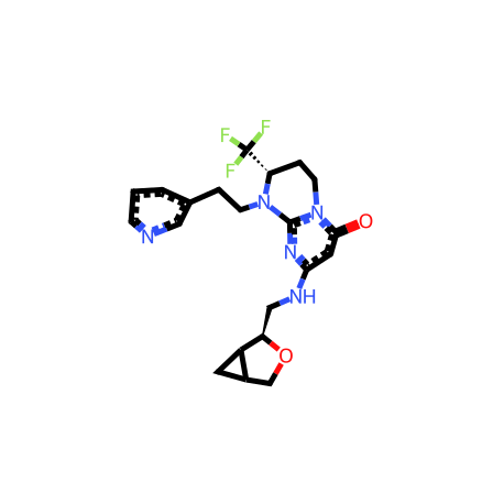 O=c1cc(NC[C@H]2OCC3CC32)nc2n1CC[C@@H](C(F)(F)F)N2CCc1cccnc1